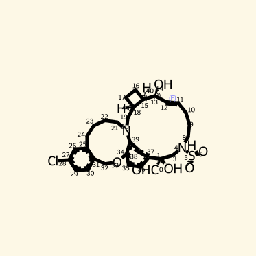 O=C[C@]1(O)CN([SH](=O)=O)CCC/C=C/[C@H](O)[C@@H]2CC[C@H]2CN2CCCCc3cc(Cl)ccc3COc3ccc1cc32